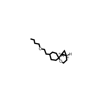 CCCCOCCC1CCC2(CC1)OCC[C@H]1C[C@H]12